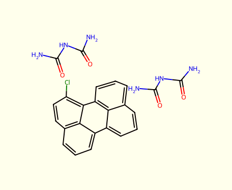 Clc1ccc2cccc3c4cccc5cccc(c1c23)c54.NC(=O)NC(N)=O.NC(=O)NC(N)=O